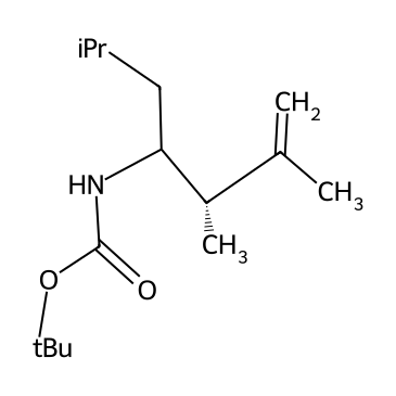 C=C(C)[C@H](C)C(CC(C)C)NC(=O)OC(C)(C)C